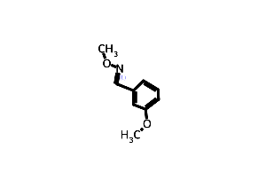 CO/N=C/c1cccc(OC)c1